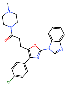 CN1CCN(C(=O)CCc2oc(-n3cnc4ccccc43)nc2-c2ccc(Cl)cc2)CC1